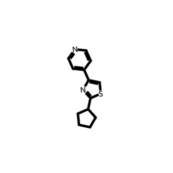 c1cc(-c2csc(C3CCCC3)n2)ccn1